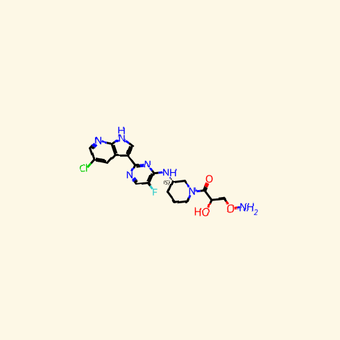 NOCC(O)C(=O)N1CCC[C@H](Nc2nc(-c3c[nH]c4ncc(Cl)cc34)ncc2F)C1